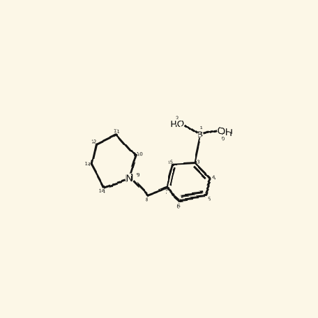 OB(O)c1cccc(CN2CCCCC2)c1